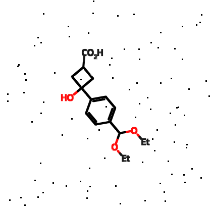 CCOC(OCC)c1ccc(C2(O)CC(C(=O)O)C2)cc1